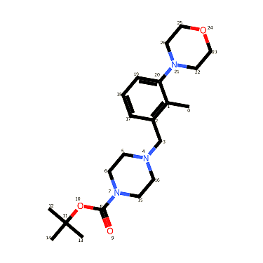 Cc1c(CN2CCN(C(=O)OC(C)(C)C)CC2)cccc1N1CCOCC1